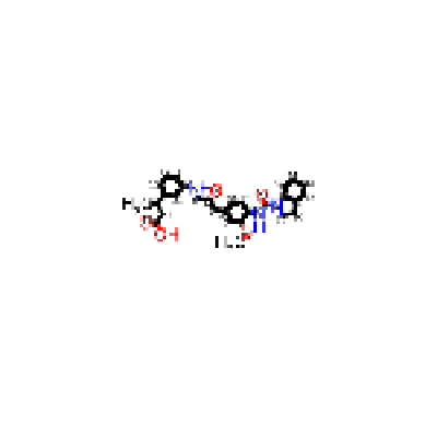 COc1cc(CC(=O)CNc2cccc(C(C)CC(=O)O)c2)ccc1NC(=O)N1CCc2ccccc21